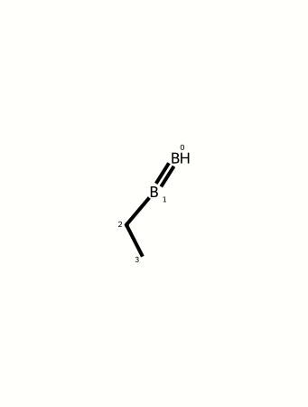 B=BCC